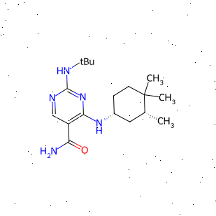 C[C@@H]1C[C@H](Nc2nc(NC(C)(C)C)ncc2C(N)=O)CCC1(C)C